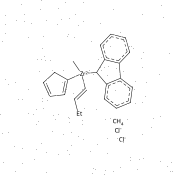 C.CCC=[CH][Zr+2]([CH3])([C]1=CC=CC1)[CH]1c2ccccc2-c2ccccc21.[Cl-].[Cl-]